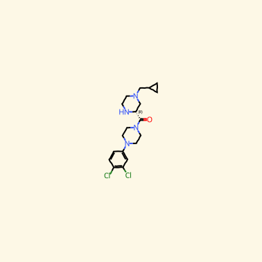 O=C([C@H]1CN(CC2CC2)CCN1)N1CCN(c2ccc(Cl)c(Cl)c2)CC1